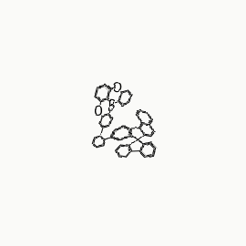 c1ccc2c(c1)Oc1cccc3c1B2c1ccc(-c2ccccc2-c2ccc4c(c2)C2(c5ccccc5-c5ccccc52)c2ccc5ccccc5c2-4)cc1O3